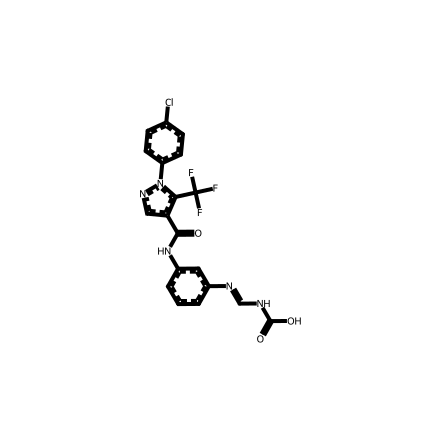 O=C(O)NC=Nc1cccc(NC(=O)c2cnn(-c3ccc(Cl)cc3)c2C(F)(F)F)c1